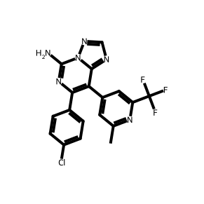 Cc1cc(-c2c(-c3ccc(Cl)cc3)nc(N)n3ncnc23)cc(C(F)(F)F)n1